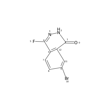 O=c1[nH]nc(F)c2ccc(Br)cc12